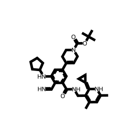 CC1=CC(C)=C(CNC(=O)c2cc(C3=CCN(C(=O)OC(C)(C)C)CC3)cc(NC3CCCC3)c2C=N)C(=C2CC2)N1